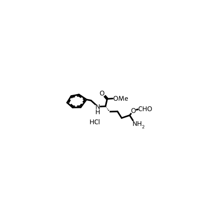 COC(=O)[C@H](CCCC(N)OC=O)NCc1ccccc1.Cl